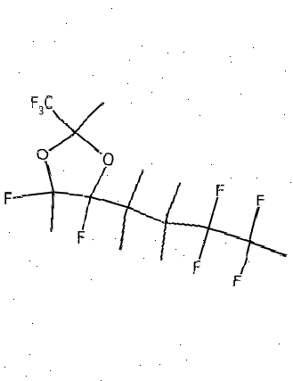 CC(F)(F)C(F)(F)C(C)(C)C(C)(C)C1(F)OC(C)(C(F)(F)F)OC1(C)F